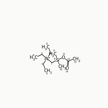 CC[N+](CC)(CC)C[Si](C)(C)OC(C)=O